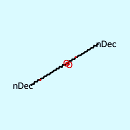 CCCCCCCCCCCCCCCCCCCCCCCCCCCCCCCCOC(=O)CCCCCCCCCCCCCCCCCCCCCCCCCCCCC